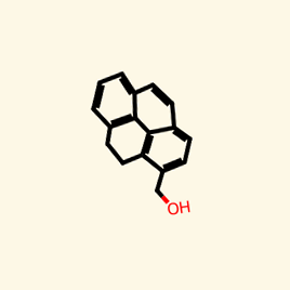 OCc1ccc2ccc3cccc4c3c2c1CC4